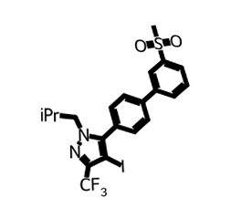 CC(C)Cn1nc(C(F)(F)F)c(I)c1-c1ccc(-c2cccc(S(C)(=O)=O)c2)cc1